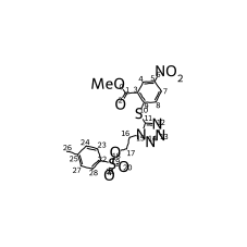 COC(=O)c1cc([N+](=O)[O-])ccc1Sc1nnnn1CCOS(=O)(=O)c1ccc(C)cc1